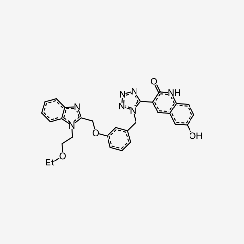 CCOCCn1c(COc2cccc(Cn3nnnc3-c3cc4cc(O)ccc4[nH]c3=O)c2)nc2ccccc21